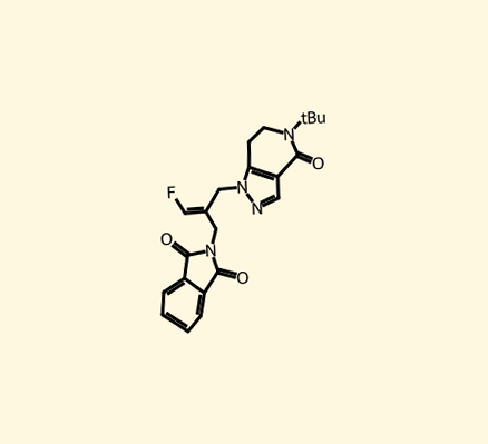 CC(C)(C)N1CCc2c(cnn2CC(=CF)CN2C(=O)c3ccccc3C2=O)C1=O